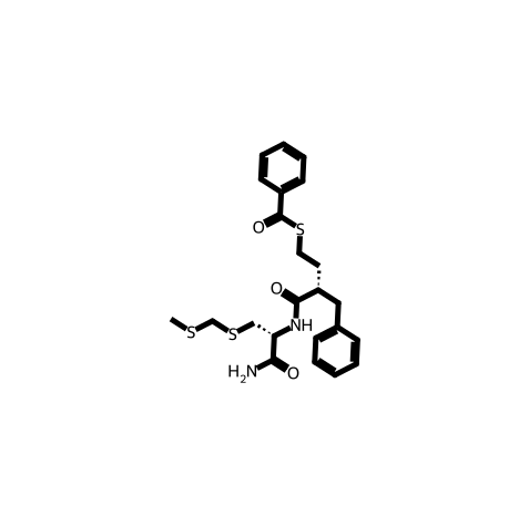 CSCSC[C@H](NC(=O)[C@H](CCSC(=O)c1ccccc1)Cc1ccccc1)C(N)=O